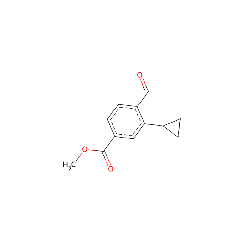 COC(=O)c1ccc(C=O)c(C2CC2)c1